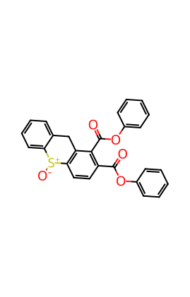 O=C(Oc1ccccc1)c1ccc2c(c1C(=O)Oc1ccccc1)Cc1ccccc1[S+]2[O-]